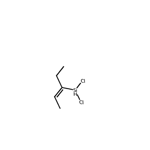 CC=C(CC)[SiH](Cl)Cl